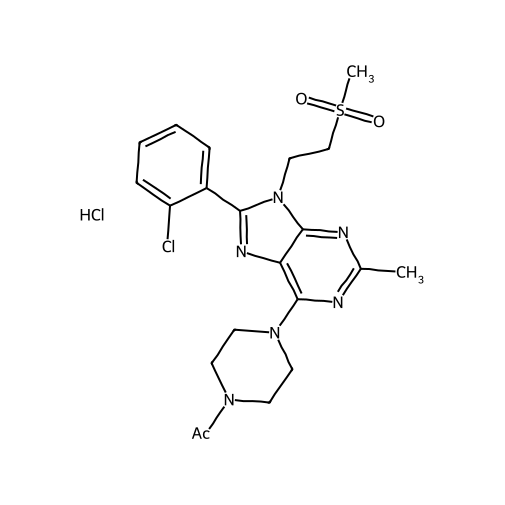 CC(=O)N1CCN(c2nc(C)nc3c2nc(-c2ccccc2Cl)n3CCS(C)(=O)=O)CC1.Cl